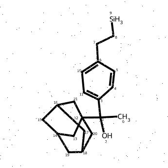 CC(O)(c1ccc(CC[SiH3])cc1)C12CC3CC(CC(C3)C1)C2